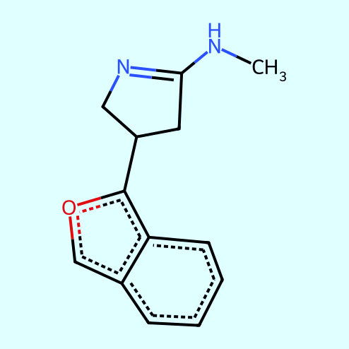 CNC1=NCC(c2occ3ccccc23)C1